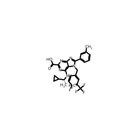 C=C(/C=C(\C=C/CF)Cn1c(-c2cccc(C)c2)nc2nc(C(=O)O)nc(N[C@H](C)C3CC3)c21)C(F)(F)F